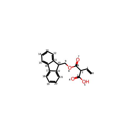 C=CC(C(=O)O)C(=O)OCC1c2ccccc2-c2ccccc21